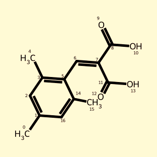 Cc1cc(C)c(C=C(C(=O)O)C(=O)O)c(C)c1